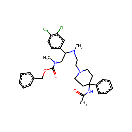 CC(=O)NC1(c2ccccc2)CCN(CCN(C)C(CN(C)C(=O)OCc2ccccc2)c2ccc(Cl)c(Cl)c2)CC1